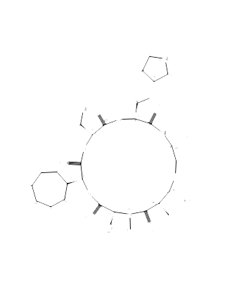 CCCCCC[C@H]1OC[C@@H](C)NC(=O)[C@H](CO[C@@H]2CCNC2)NC(=O)[C@H](CN)NC(=O)[C@H](C2CCCCCC2)NC(=O)[C@H](CCC)N(C)C(=O)[C@@H]1C